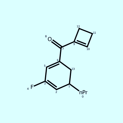 CCCC1C=C(F)C=C(C(=O)C2=CCC2)C1